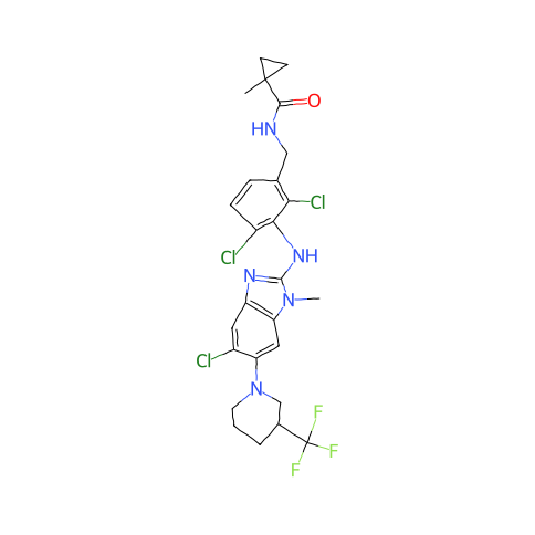 Cn1c(Nc2c(Cl)ccc(CNC(=O)C3(C)CC3)c2Cl)nc2cc(Cl)c(N3CCCC(C(F)(F)F)C3)cc21